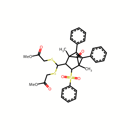 COC(=O)CSC(SCC(=O)OC)C1C(S(=O)(=O)c2ccccc2)C2(C)C(=O)C1(C)C(c1ccccc1)=C2c1ccccc1